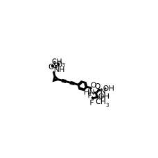 CC(O)(C(F)F)C(NC(=O)c1ccc(C#CC#CC2CC2CNS(C)(=O)=O)cc1)C(=O)NO